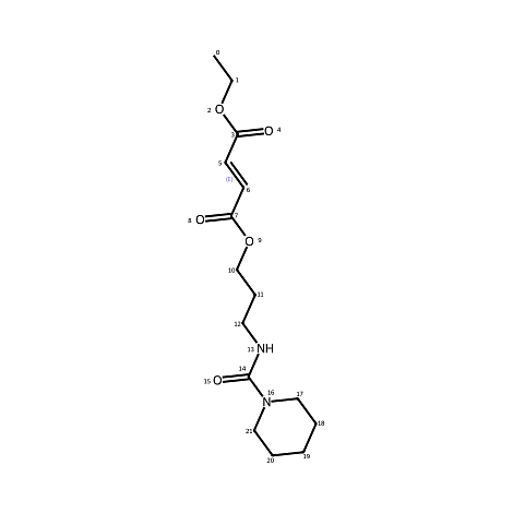 CCOC(=O)/C=C/C(=O)OCCCNC(=O)N1CCCCC1